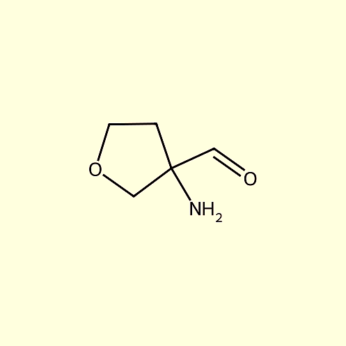 NC1(C=O)CCOC1